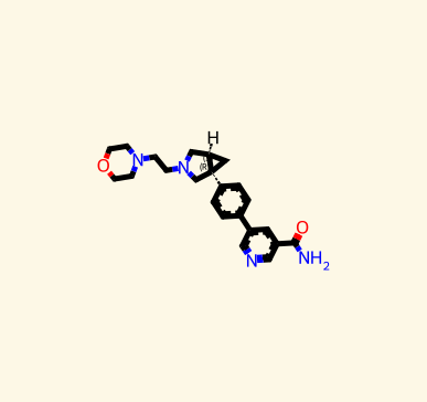 NC(=O)c1cncc(-c2ccc([C@@]34C[C@@H]3CN(CCN3CCOCC3)C4)cc2)c1